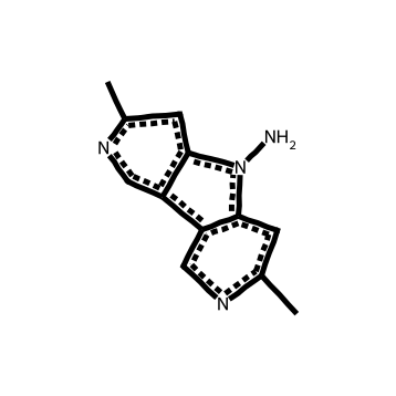 Cc1cc2c(cn1)c1cnc(C)cc1n2N